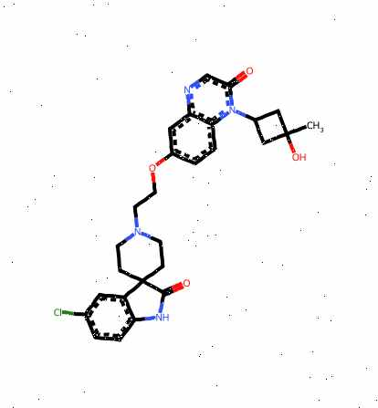 CC1(O)CC(n2c(=O)cnc3cc(OCCN4CCC5(CC4)C(=O)Nc4ccc(Cl)cc45)ccc32)C1